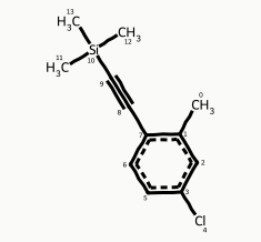 Cc1cc(Cl)ccc1C#C[Si](C)(C)C